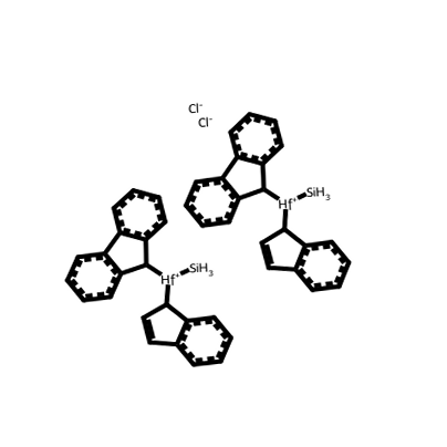 [Cl-].[Cl-].[SiH3][Hf+]([CH]1C=Cc2ccccc21)[CH]1c2ccccc2-c2ccccc21.[SiH3][Hf+]([CH]1C=Cc2ccccc21)[CH]1c2ccccc2-c2ccccc21